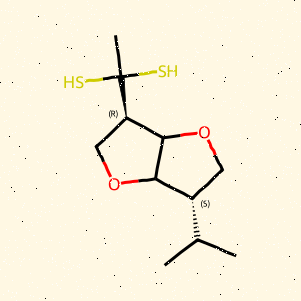 CC(C)[C@H]1COC2C1OC[C@H]2C(C)(S)S